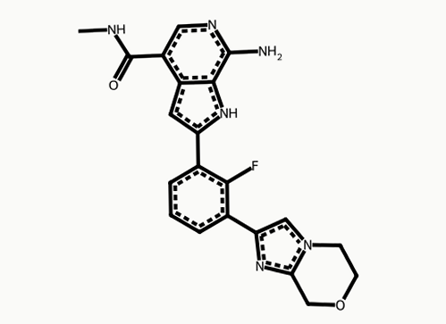 CNC(=O)c1cnc(N)c2[nH]c(-c3cccc(-c4cn5c(n4)COCC5)c3F)cc12